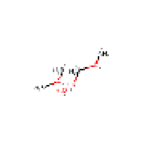 O.O[SiH2]O[SiH3].[SiH3]O[SiH3]